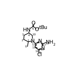 CC1CCC(NC(=O)OC(C)(C)C)CN1c1cc(Cl)nc(N)n1